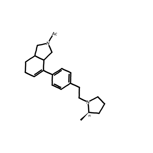 CC(=O)N1CC2CCC=C(c3ccc(CCN4CCC[C@H]4C)cc3)C2C1